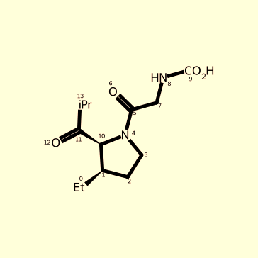 CC[C@@H]1CCN(C(=O)CNC(=O)O)[C@@H]1C(=O)C(C)C